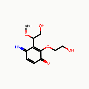 CCCCOC(CO)C1=C(OCCO)C(=O)C=CC1=N